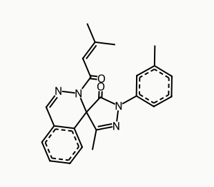 CC(C)=CC(=O)N1N=Cc2ccccc2C12C(=O)N(c1cccc(C)c1)N=C2C